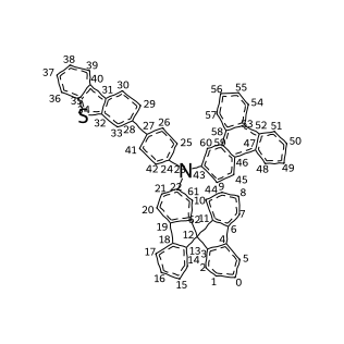 c1ccc2c(c1)-c1ccccc1C21c2ccccc2-c2ccc(N(c3ccc(-c4ccc5c(c4)sc4ccccc45)cc3)c3ccc4c5ccccc5c5ccccc5c4c3)cc21